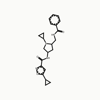 O=C(NCC1CC(NC(=O)c2cc(C3CC3)on2)CN1C1CC1)c1ccccc1